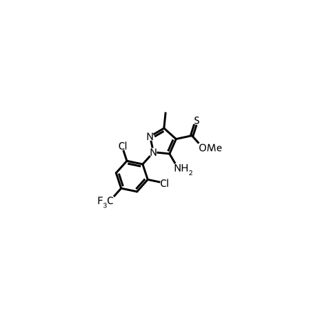 COC(=S)c1c(C)nn(-c2c(Cl)cc(C(F)(F)F)cc2Cl)c1N